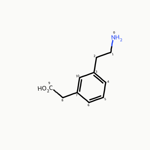 NCCc1cccc(CC(=O)O)c1